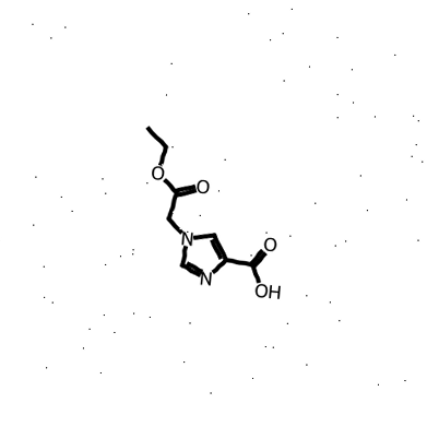 CCOC(=O)Cn1cnc(C(=O)O)c1